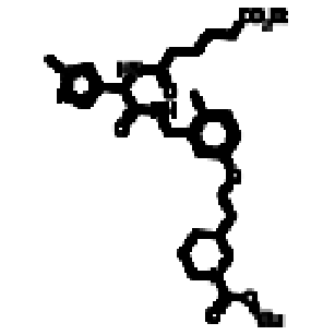 CCOC(=O)CCCCC(=O)NC(C(=O)NCc1cc(OCCC2CCCN(C(=O)OC(C)(C)C)C2)ccc1C)c1cnn(C)c1